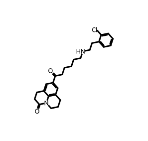 O=C(CCCCCNCCc1ccccc1Cl)c1cc2c3c(c1)CCC(=O)N3CCC2